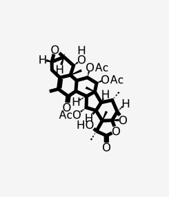 CC(=O)O[C@H]1[C@@H]2[C@H]([C@H](C)[C@H]3O[C@]34OC(=O)[C@@](C)(O)[C@]24C)[C@]2(C)[C@@H]1C1C(=O)C(C)=C3C[C@@H]4O[C@@H]4[C@H](O)[C@]3(C)C1[C@H](OC(C)=O)[C@@H]2OC(C)=O